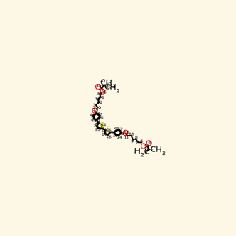 C=C(C)C(=O)OCCCCCCOc1ccc(-c2ccc(-c3ccc(-c4ccc(OCCCCCCOC(=O)C(=C)C)cc4)s3)s2)cc1